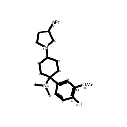 CCCC1CCN(C2CCC(c3ccc(Cl)c(OC)c3)(N(C)C)CC2)C1